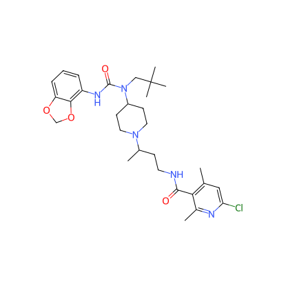 Cc1cc(Cl)nc(C)c1C(=O)NCCC(C)N1CCC(N(CC(C)(C)C)C(=O)Nc2cccc3c2OCO3)CC1